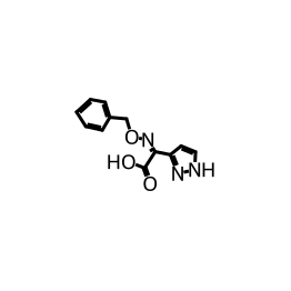 O=C(O)C(=NOCc1ccccc1)c1cc[nH]n1